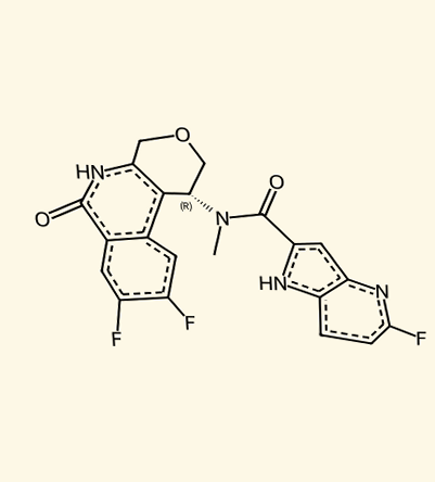 CN(C(=O)c1cc2nc(F)ccc2[nH]1)[C@H]1COCc2[nH]c(=O)c3cc(F)c(F)cc3c21